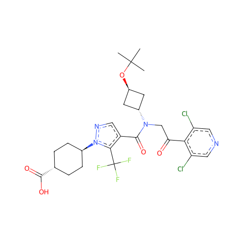 CC(C)(C)O[C@H]1C[C@H](N(CC(=O)c2c(Cl)cncc2Cl)C(=O)c2cnn([C@H]3CC[C@H](C(=O)O)CC3)c2C(F)(F)F)C1